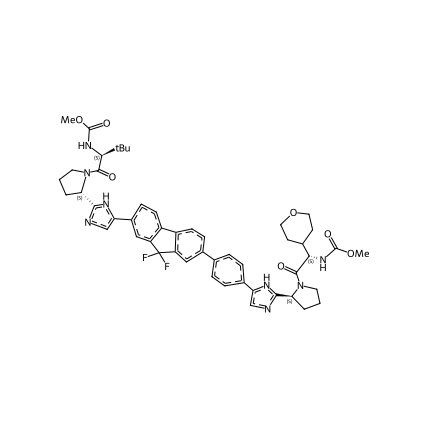 COC(=O)N[C@H](C(=O)N1CCC[C@H]1c1ncc(-c2ccc(-c3ccc4c(c3)C(F)(F)c3cc(-c5cnc([C@@H]6CCCN6C(=O)[C@@H](NC(=O)OC)C(C)(C)C)[nH]5)ccc3-4)cc2)[nH]1)C1CCOCC1